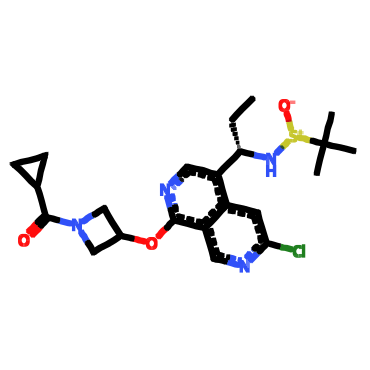 CC[C@H](N[S+]([O-])C(C)(C)C)c1cnc(OC2CN(C(=O)C3CC3)C2)c2cnc(Cl)cc12